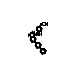 N#CCc1ccc(Nc2ncnc3ccc(C4C=CC(c5ccccc5)=CC4)cc23)cc1